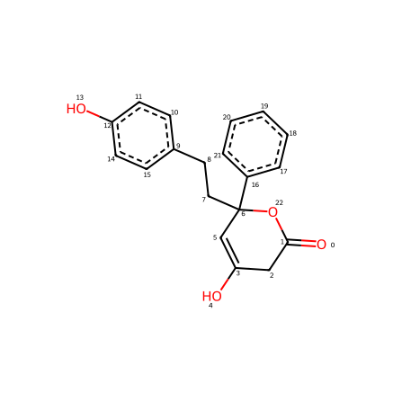 O=C1CC(O)=CC(CCc2ccc(O)cc2)(c2ccccc2)O1